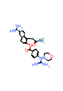 Cl.Cl.N=C(N)c1ccc2c(CC(N)=O)c(OC(=O)c3ccc(N(C(=N)N)N4CCOCC4)cc3)ccc2c1